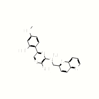 CPc1ccc(-c2cnc(N)c(N(N)Cc3ccc4ncccc4n3)n2)c(P)c1